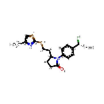 CCCCC[C@@H](F)c1ccc(N2C(=O)CCC2CCSc2nc(C(=O)O)cs2)cc1